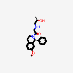 COc1ccc2c(c1)[C@H](c1ccccc1)N(C(=O)CNC[C@@H](C)O)CC2